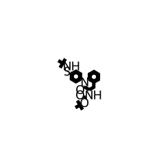 CC(C)(C)NSc1ccc(N2C(=O)C(NC(=O)OC(C)(C)C)Cc3ccccc32)cc1